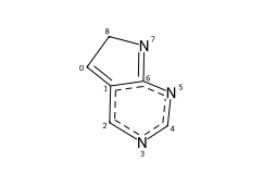 C1=c2cncnc2=NC1